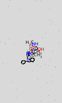 CNC(=O)[C@H]1CC(O)CN1C(=O)C(n1cc(Cn2c(-c3ccccc3)cc3ccccc32)nn1)C(C)(C)C